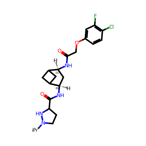 CC(C)N1CCC(C(=O)N[C@@H]2C[C@H](NC(=O)COc3ccc(Cl)c(F)c3)C3CC2C3)N1